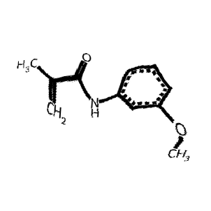 C=C(C)C(=O)Nc1cccc(OC)c1